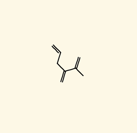 C=CCC(=C)C(=C)C